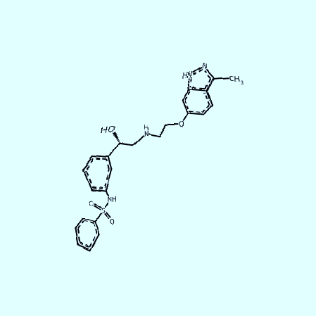 Cc1n[nH]c2cc(OCCNC[C@H](O)c3cccc(NS(=O)(=O)c4ccccc4)c3)ccc12